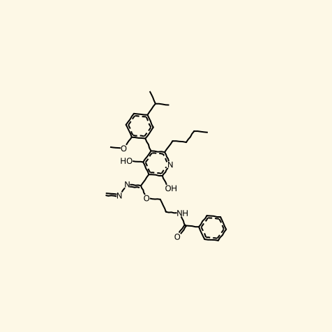 C=N/N=C(\OCCNC(=O)c1ccccc1)c1c(O)nc(CCCC)c(-c2cc(C(C)C)ccc2OC)c1O